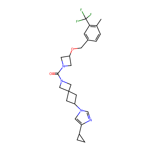 Cc1ccc(COC2CN(C(=O)N3CC4(CC(n5cnc(C6CC6)c5)C4)C3)C2)cc1C(F)(F)F